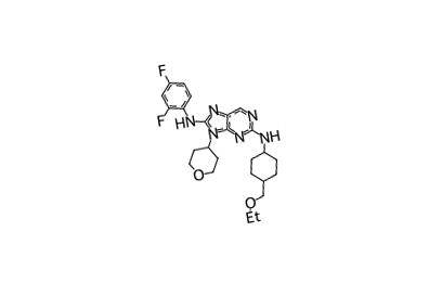 CCOCC1CCC(Nc2ncc3nc(Nc4ccc(F)cc4F)n(C4CCOCC4)c3n2)CC1